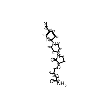 C[C@@H](COC1CCN(C2CCN(c3ccc(C#N)cn3)CC2)C1=O)OC(N)=O